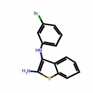 Nc1sc2ccccc2c1Nc1cccc(Br)c1